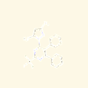 Cc1cc(C)n(-c2nc(C(F)(F)F)nc(-c3ccccc3)c2-c2ccccc2)n1